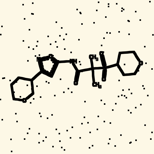 CC(C)(C(=O)Nc1cc(C2CCCOC2)no1)S(=O)(=O)C1CCOCC1